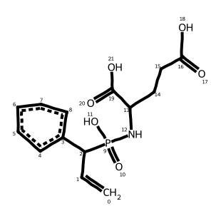 C=CC(c1ccccc1)P(=O)(O)NC(CCC(=O)O)C(=O)O